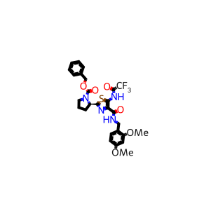 COc1ccc(CNC(=O)c2nc([C@H]3CCCN3C(=O)OCc3ccccc3)sc2NC(=O)C(F)(F)F)c(OC)c1